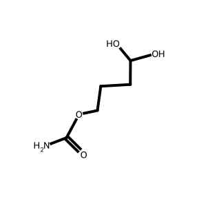 NC(=O)OCCCC(O)O